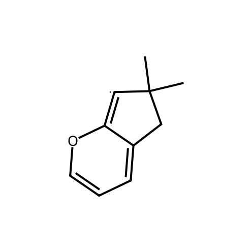 CC1(C)[C]=C2OC=CC=C2C1